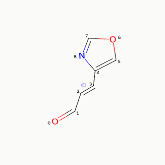 O=C/C=C/c1cocn1